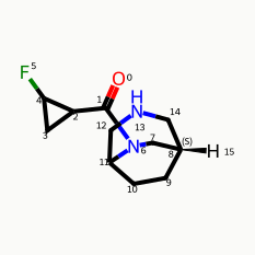 O=C(C1CC1F)N1C[C@H]2CCC1CNC2